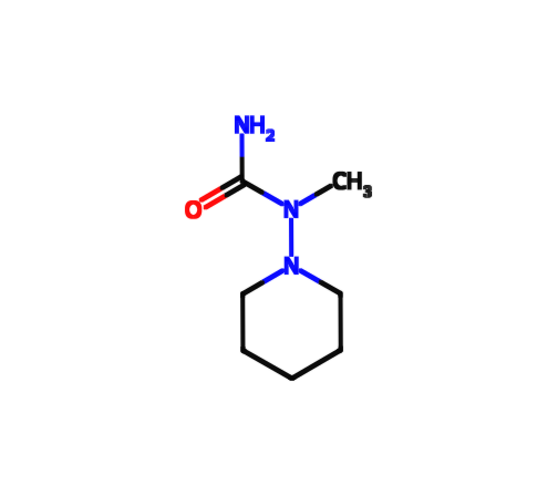 CN(C(N)=O)N1CCCCC1